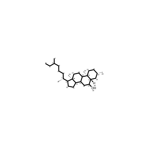 CCC(C)CCC[C@@H](C)C1CCC2C3CC(O)[C@H]4C[C@@H](C)CC[C@]4(C)C3CC[C@@]21C